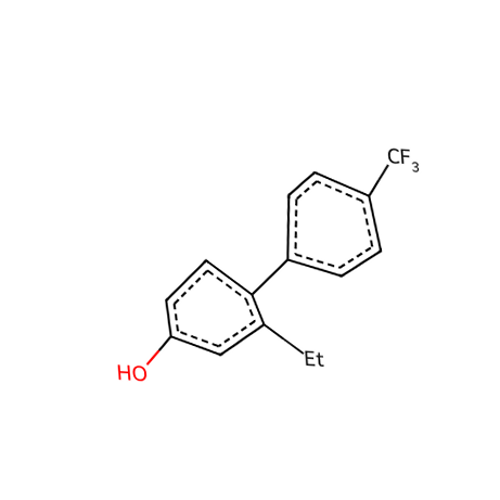 CCc1cc(O)ccc1-c1ccc(C(F)(F)F)cc1